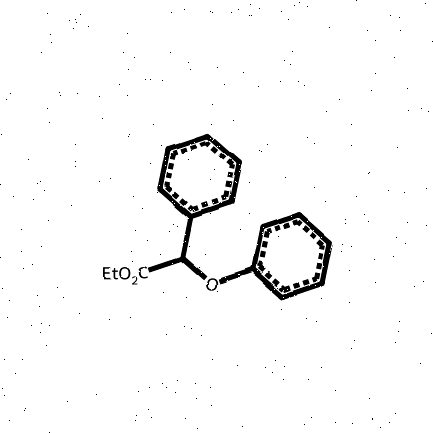 CCOC(=O)C(Oc1ccccc1)c1ccccc1